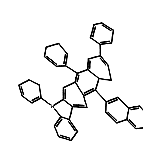 C1=CCCC(n2c3ccccc3c3cc4c(cc32)=C(C2=CCCC=C2)C2=CC(c3ccccc3)=CCC2C=4c2ccc3ccccc3c2)=C1